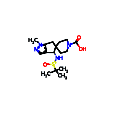 Cn1ncc2c1CC1(CCN(C(=O)O)CC1)[C@@H]2N[S@+]([O-])C(C)(C)C